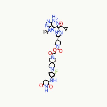 CC(C)n1nc(-c2noc(C3CC3)c2-c2ncc(C3CCN(C(=O)OCC(=O)N4CCC5(CC4)CCN(c4ccc(NC6CCC(=O)NC6=O)cc4F)CC5)CC3)cn2)c2c(N)ncnc21